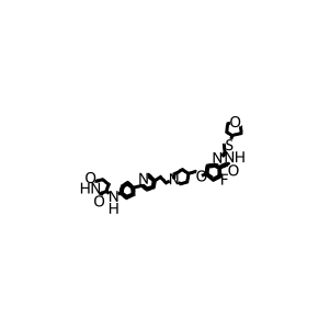 O=C1CCC(Nc2ccc(-c3ccc(CCN4CCC(COc5cc(F)c6c(=O)[nH]c(CSC7CCOCC7)nc6c5)CC4)cn3)cc2)C(=O)N1